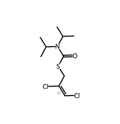 CC(C)N(C(=O)SC/C(Cl)=C\Cl)C(C)C